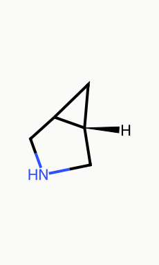 C1NC[C@H]2CC12